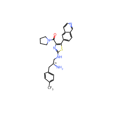 N[C@H](CNc1nc(C(=O)N2CCCC2)c(-c2ccc3cnccc3c2)s1)Cc1ccc(C(F)(F)F)cc1